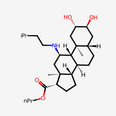 CCCOC(=O)[C@H]1CC[C@H]2[C@@H]3CC[C@H]4C[C@H](O)[C@@H](O)C[C@]4(C)[C@H]3[C@H](NCCC(C)C)C[C@]12C